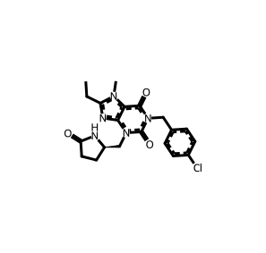 CCc1nc2c(c(=O)n(Cc3ccc(Cl)cc3)c(=O)n2C[C@H]2CCC(=O)N2)n1C